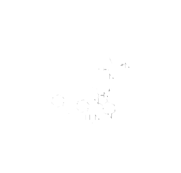 CC(C)(C)/C=C(/C#N)C(=O)N1CCC[C@@H](n2c(=O)n(-c3ccc(Oc4ccccc4)cc3)c3c(N)nccc32)C1